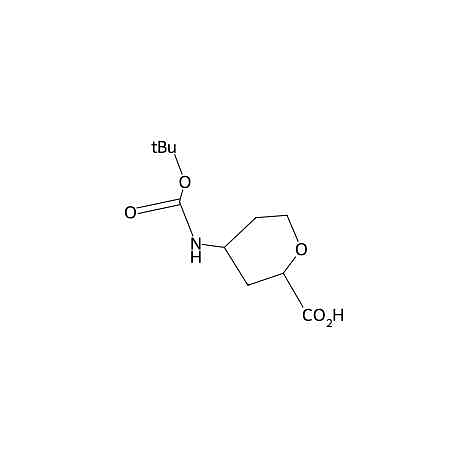 CC(C)(C)OC(=O)NC1CCOC(C(=O)O)C1